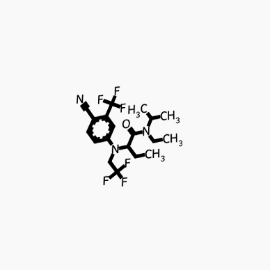 CCC(C(=O)N(CC)C(C)C)N(CC(F)(F)F)c1ccc(C#N)c(C(F)(F)F)c1